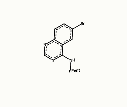 CCCCCNc1ncnc2ccc(Br)cc12